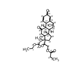 CCOC(=O)O[C@]1(C(=O)COC(=O)CC)CC[C@H]2[C@@H]3CCC4=CC(=O)C=C[C@]4(C)[C@H]3C(=O)C[C@@]21C